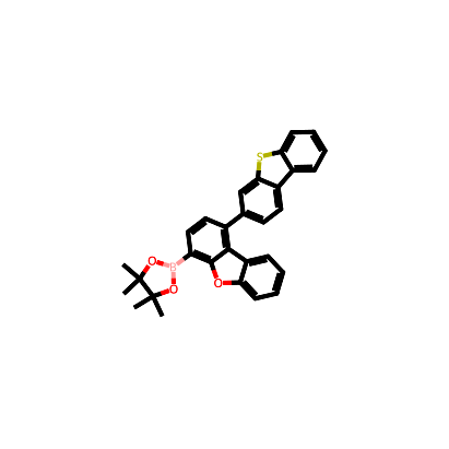 CC1(C)OB(c2ccc(-c3ccc4c(c3)sc3ccccc34)c3c2oc2ccccc23)OC1(C)C